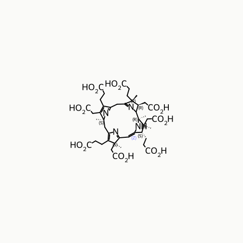 C[C@@]1(CC(=O)O)C2=NC(=C1CCC(=O)O)C[C@]1(C)N=C(CC3=NC([C@H](CC(=O)O)[C@@]3(C)CCC(=O)O)[C@]3(C)N/C(=C\2)[C@@H](CCC(=O)O)[C@]3(C)CC(=O)O)C(CCC(=O)O)=C1CC(=O)O